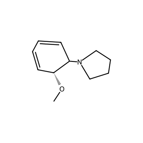 CO[C@@H]1C=CC=CC1N1CCCC1